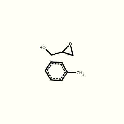 Cc1ccccc1.OCC1CO1